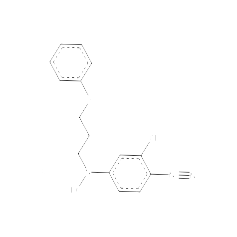 CCN(CCCSc1ccccc1)c1ccc([N+]#N)c(Cl)c1.[Cl-]